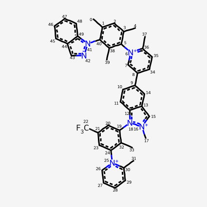 Cc1cc(C)c(-[n+]2cc(-c3ccc4c(c3)c[n+](C)n4-c3cc(C(F)(F)F)cc(-[n+]4ccccc4C)c3C)ccc2C)c(C)c1-n1ncc2ccccc21